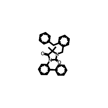 CC1(C)C(=O)N(c2ccccc2-c2ccccc2)C(=O)N1Cc1ccccc1Cc1ccccc1